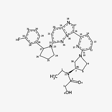 CCN(C(=O)CO)[C@@H]1CCN(c2cccc(-c3cnc4ccc(N5CCCC5c5cccc(F)c5)nn34)n2)C1